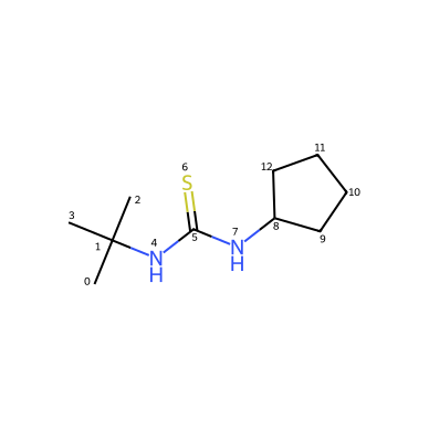 CC(C)(C)NC(=S)NC1CCCC1